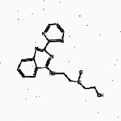 [O-][S+](CCO)CCNc1nc(-c2ncccn2)nc2ccccc12